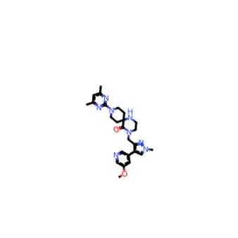 COc1cncc(-c2cn(C)nc2CN2CCNC3(CCN(c4nc(C)cc(C)n4)CC3)C2=O)c1